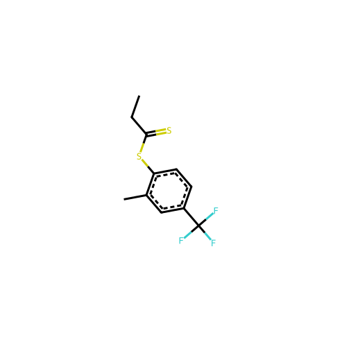 CCC(=S)Sc1ccc(C(F)(F)F)cc1C